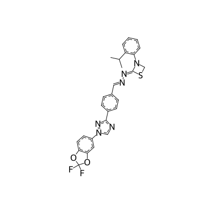 CC(C)c1ccccc1N1CS/C1=N\N=C\c1ccc(-c2ncn(-c3ccc4c(c3)OC(F)(F)O4)n2)cc1